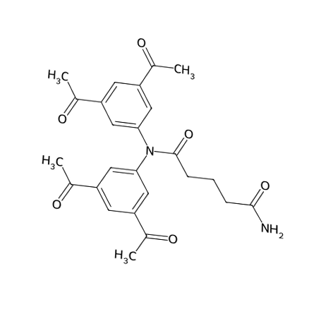 CC(=O)c1cc(C(C)=O)cc(N(C(=O)CCCC(N)=O)c2cc(C(C)=O)cc(C(C)=O)c2)c1